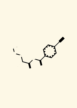 C#Cc1ccc(C(=O)NC(=O)[C@H](C)NOCCCCCCCCCC)cc1